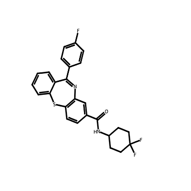 O=C(NC1CCC(F)(F)CC1)c1ccc2c(c1)N=C(c1ccc(F)cc1)c1ccccc1S2